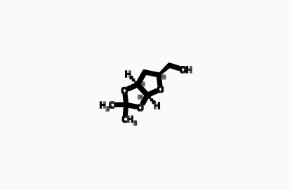 CC1(C)O[C@@H]2O[C@H](CO)C[C@@H]2O1